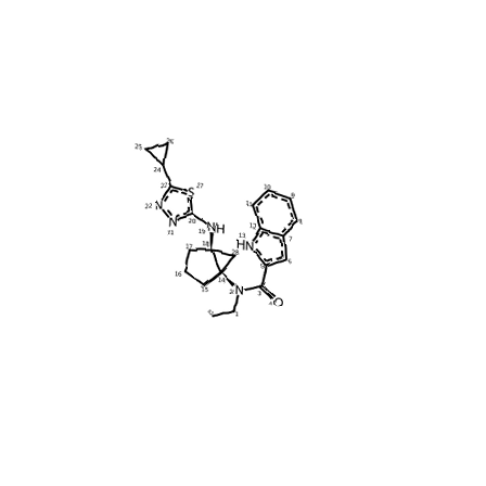 CCN(C(=O)c1cc2ccccc2[nH]1)[C@@]12CCC[C@]1(Nc1nnc(C3CC3)s1)C2